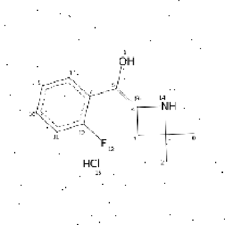 CC1(C)C[C@H](C(O)c2ccccc2F)N1.Cl